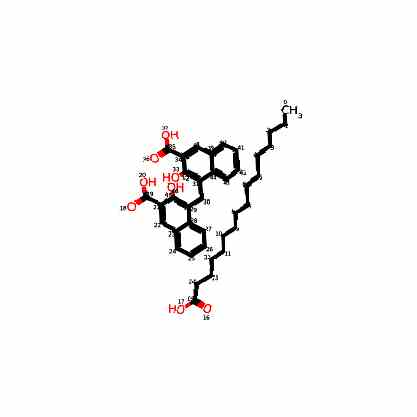 CCCCCCCCCCCCCCCC(=O)O.O=C(O)c1cc2ccccc2c(Cc2c(O)c(C(=O)O)cc3ccccc23)c1O